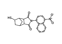 O=C1C2C3CC(S)C(C3)C2C(=O)N1c1ccc([N+](=O)[O-])c2ccccc12